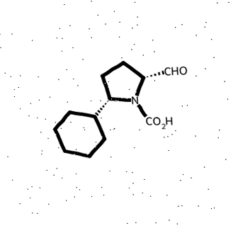 O=C[C@H]1CC[C@@H](C2CCCCC2)N1C(=O)O